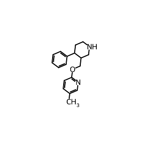 Cc1ccc(OCC2CNCCC2c2ccccc2)nc1